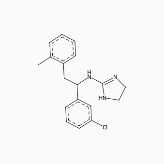 Cc1ccccc1CC(NC1=NCCN1)c1cccc(Cl)c1